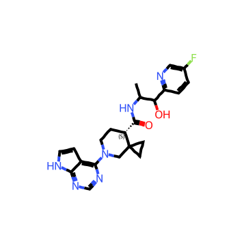 CC(NC(=O)[C@H]1CCN(c2ncnc3[nH]ccc23)CC12CC2)C(O)c1ccc(F)cn1